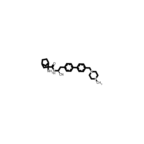 CN1CCN(Cc2ccc(-c3ccc(C[C@@H](C#N)NC(=O)C4(N)CC5CCC4C5)cc3)cc2)CC1